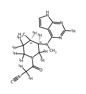 [2H]c1nc(N(C)[C@@]2([2H])C([2H])([2H])N(C(=O)C([2H])([2H])[N+]#[C-])C([2H])([2H])C([2H])([2H])[C@@]2([2H])C)c2cc[nH]c2n1